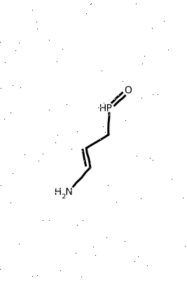 NC=CC[PH]=O